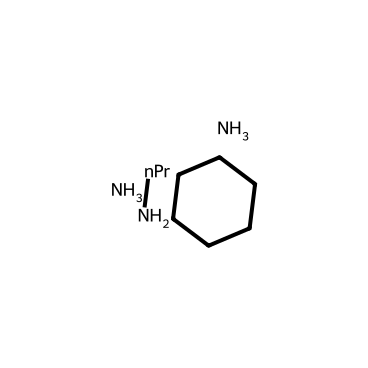 C1CCCCC1.CCCN.N.N